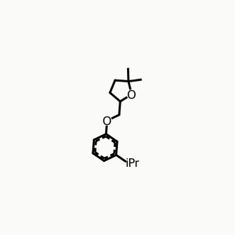 CC(C)c1cccc(OCC2CCC(C)(C)O2)c1